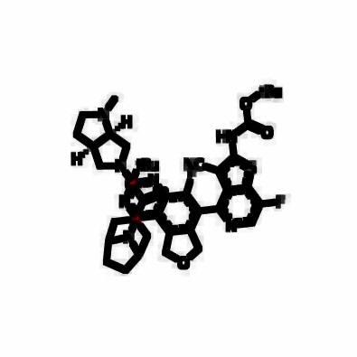 CN1CC[C@@H]2CN(c3nc(N4C5CCC4CN(C(=O)OC(C)(C)C)C5)c4c5c(c(-c6ncc(F)c7sc(NC(=O)OC(C)(C)C)c(C#N)c67)c(F)c4n3)COC5)C[C@@H]21